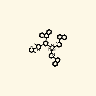 Cc1cccnc1-c1ncc(-c2cc(-c3nc(-c4cccc(-c5cccc6ccccc56)n4)nc(-c4cccc(-c5cccc6ccccc56)n4)n3)cc(-c3cc4ccccc4c4ccccc34)c2)cc1C